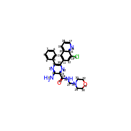 Nc1nc(-c2ccccc2)c(-c2cc(Cl)c3ncccc3c2)nc1C(=O)NCN1CCOCC1